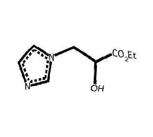 CCOC(=O)C(O)Cn1ccnc1